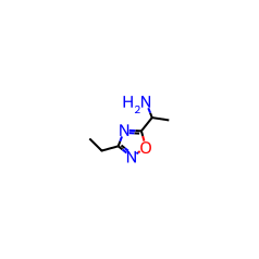 CCc1noc(C(C)N)n1